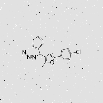 Cc1oc(-c2ccc(Cl)cc2)cc1C(N=[N+]=[N-])c1ccccc1